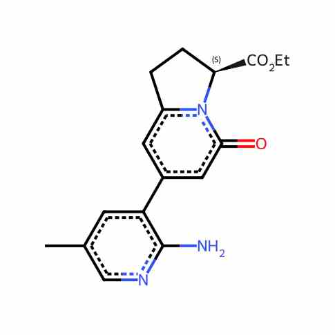 CCOC(=O)[C@@H]1CCc2cc(-c3cc(C)cnc3N)cc(=O)n21